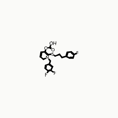 O=C(O)OC1=C(SCCCc2ccc(F)cc2)N(Cc2ccc(F)c(F)c2)CC=C1